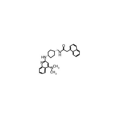 CN(C)c1cc(N[C@H]2CC[C@@H](CNC(=O)Cc3cccc4ccccc34)CC2)nc2ccccc12